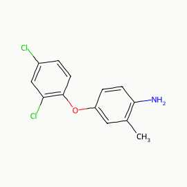 Cc1cc(Oc2ccc(Cl)cc2Cl)ccc1N